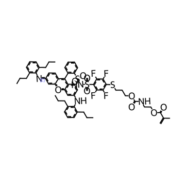 C=C(C)C(=O)OCCNC(=O)OCCCSc1c(F)c(F)c(S(=O)(=O)NS(=O)(=O)c2ccccc2-c2c3cc/c(=N\c4c(CCC)cccc4CCC)cc-3oc3cc(Nc4c(CCC)cccc4CCC)ccc23)c(F)c1F